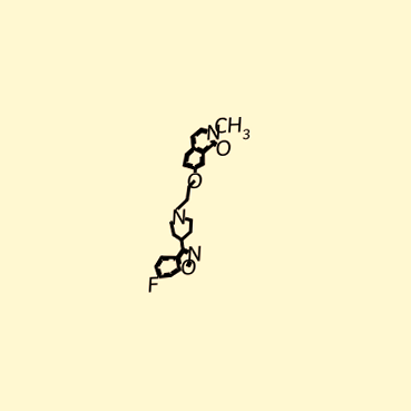 Cn1ccc2ccc(OCCCN3CCC(c4noc5cc(F)ccc45)CC3)cc2c1=O